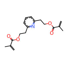 C=C(C)C(=O)OCCc1cccc(CCOC(=O)C(=C)C)n1